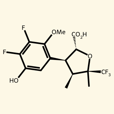 COc1c([C@H]2[C@H](C(=O)O)O[C@@](C)(C(F)(F)F)[C@H]2C)cc(O)c(F)c1F